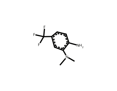 CN(C)c1cc(C(F)(F)F)ccc1N